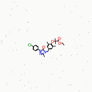 CCOC(=O)C(C)(C)Oc1c(C)cc(Cn2c(C)nn(-c3ccc(Cl)cc3)c2=O)cc1C